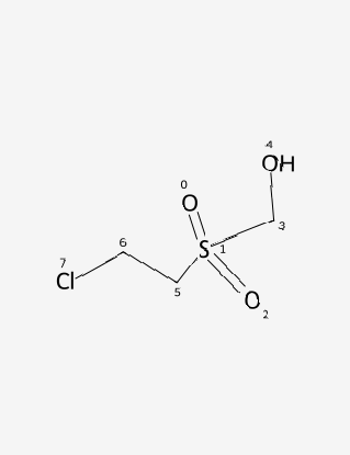 O=S(=O)(CO)CCCl